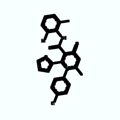 CCc1cccc(C)c1NC(=O)c1c(-c2ccco2)n(-c2ccc(Cl)cc2)c(C)cc1=O